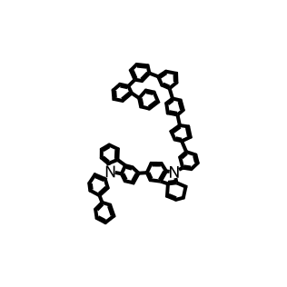 C1=Cc2c(n(-c3cccc(-c4ccc(-c5ccc(-c6cccc(-c7cccc(-c8ccccc8-c8ccccc8)c7)c6)cc5)cc4)c3)c3ccc(-c4ccc5c(c4)c4ccccc4n5-c4cccc(-c5ccccc5)c4)cc23)CC1